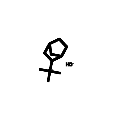 C[N+](C)(C)C1CC2CCC1C2.[OH-]